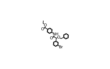 CCOC(=O)c1ccc(NC(=O)C(OCc2ccccc2)c2cccc(Br)c2)cc1